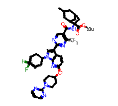 CC1CC2CC(C1)C(NC(=O)c1cnc(-c3cn(C4CCC(F)(F)CC4)c4nc(OC5CCN(c6ncccn6)CC5)ccc34)nc1C(F)(F)F)(C(=O)OC(C)(C)C)C2